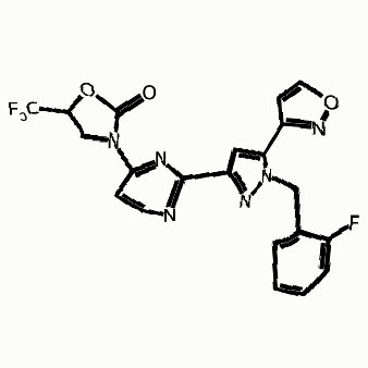 O=C1OC(C(F)(F)F)CN1c1ccnc(-c2cc(-c3ccon3)n(Cc3ccccc3F)n2)n1